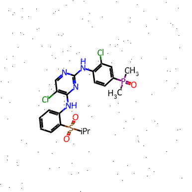 CC(C)S(=O)(=O)c1ccccc1Nc1nc(Nc2ccc(P(C)(C)=O)cc2Cl)ncc1Cl